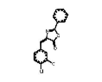 O=C1OC(c2ccccc2)=N/C1=C/c1ccc(Cl)c(Cl)c1